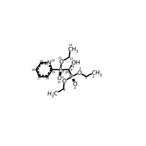 CCOP(=O)(OCC)[C@H](O)P(=O)(OCC)c1ccccn1